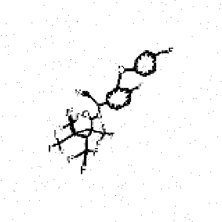 N#CC(OC(=O)C1(C(F)(F)F)C(C(F)(F)F)C1(C(F)(F)F)C(F)(F)F)c1ccc(F)c(Oc2ccc(F)cc2)c1